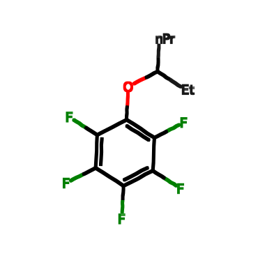 CCCC(CC)Oc1c(F)c(F)c(F)c(F)c1F